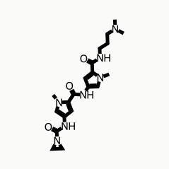 CN(C)CCCNC(=O)c1cc(NC(=O)c2cc(NC(=O)N3CC3)cn2C)cn1C